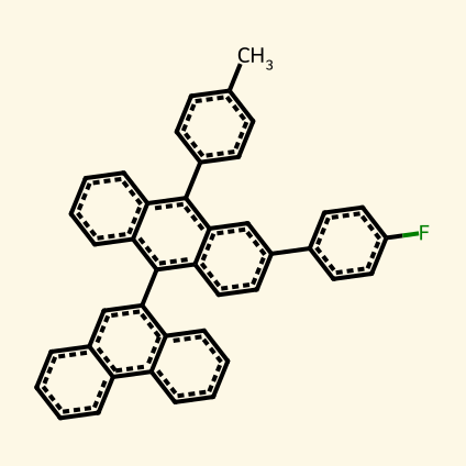 Cc1ccc(-c2c3ccccc3c(-c3cc4ccccc4c4ccccc34)c3ccc(-c4ccc(F)cc4)cc23)cc1